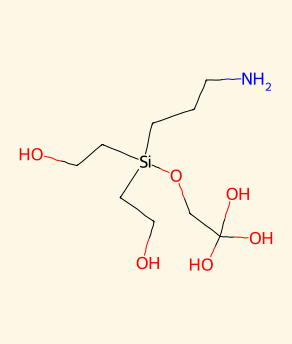 NCCC[Si](CCO)(CCO)OCC(O)(O)O